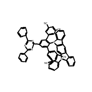 N#Cc1cc(C#N)cc(-c2cc(-c3nc(-c4ccccc4)nc(-c4ccccc4)n3)cc(-c3cc(C#N)cc(C#N)c3)c2-n2c3ccccc3c3cc4c5ccccc5n(-c5ccccc5)c4cc32)c1